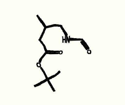 CC(CNC=O)CC(=O)OC(C)(C)C